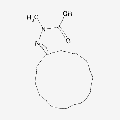 CN(N=C1CCCCCCCCCCC1)C(=O)O